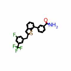 NC(=O)c1cccc(-c2cccc3cc(Cc4cc(F)cc(C(F)(F)F)c4)sc23)c1